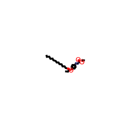 CCCCCCCCCCCCCCCC(CC)Oc1ccc(/C=C/C(=O)OCC)cc1